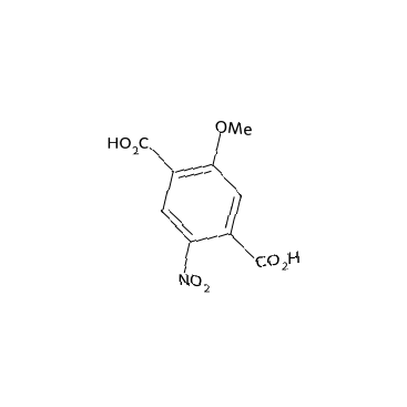 COc1cc(C(=O)O)c([N+](=O)[O-])cc1C(=O)O